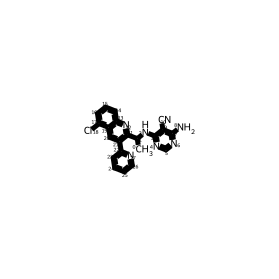 CC(Nc1ncnc(N)c1C#N)c1nc2cccc(Cl)c2cc1-c1ccccn1